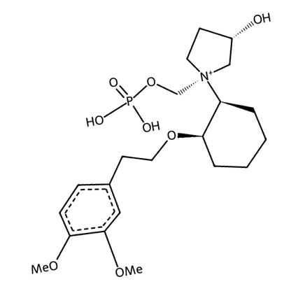 COc1ccc(CCO[C@@H]2CCCC[C@@H]2[N@@+]2(COP(=O)(O)O)CC[C@H](O)C2)cc1OC